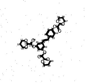 O=C(Oc1ccc(/C=C/c2cc(OC(=O)C3OCCCO3)cc(OC(=O)C3OCCCO3)c2)cc1)C1OCCCO1